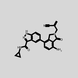 C=C(C#N)CN1Cc2c(-c3ccc4[nH]nc(C(=O)NC5CC5)c4c3)ccc(N)c2C1=O